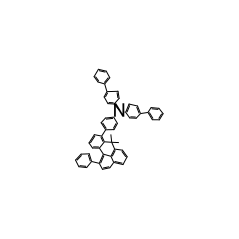 CC1(C)c2c(-c3ccc(N(c4ccc(-c5ccccc5)cc4)c4ccc(-c5ccccc5)cc4)cc3)cccc2-c2c(-c3ccccc3)ccc3cccc1c23